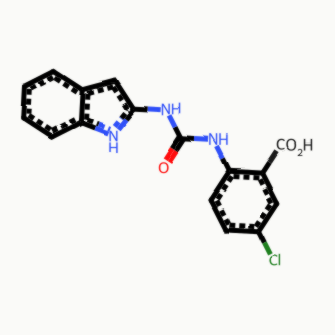 O=C(Nc1cc2ccccc2[nH]1)Nc1ccc(Cl)cc1C(=O)O